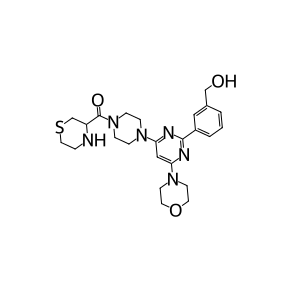 O=C(C1CSCCN1)N1CCN(c2cc(N3CCOCC3)nc(-c3cccc(CO)c3)n2)CC1